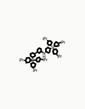 CC(C)c1ccc([Si](c2ccc(Nc3cccc(-c4cccc([Si](c5ccc(C(C)C)cc5)(c5ccc(C(C)C)cc5)c5ccc(C(C)C)cc5)c4)c3)cc2)(c2ccc(C(C)C)cc2)c2ccc(C(C)C)cc2)cc1